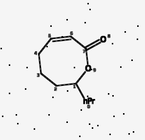 CCCC1CCCC=CC(=O)O1